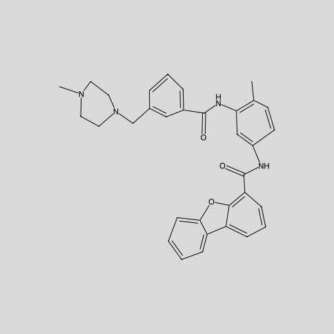 Cc1ccc(NC(=O)c2cccc3c2oc2ccccc23)cc1NC(=O)c1cccc(CN2CCN(C)CC2)c1